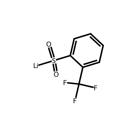 [Li][S](=O)(=O)c1ccccc1C(F)(F)F